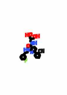 N#Cc1ccccc1-c1ccc(C(=O)NCC(CO)CO)c(NCCc2cccc(F)c2)n1